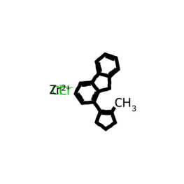 CC1=C(c2cccc3c2Cc2ccccc2-3)CCC1.[Cl-].[Cl-].[Zr+2]